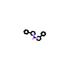 O=C(N1CCCC(c2ccccc2)C1)N1CCCC(c2ccccc2)C1